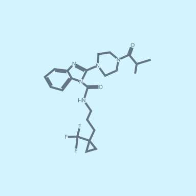 CC(C)C(=O)N1CCN(c2nc3ccccc3n2C(=O)NCCCC2(C(F)(F)F)CC2)CC1